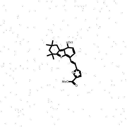 CCCCCCCCC1C=CC(C=Cc2ccc(C(=O)OC)o2)=C2N=C3C(=C21)CC(C)(C)CC3(C)C